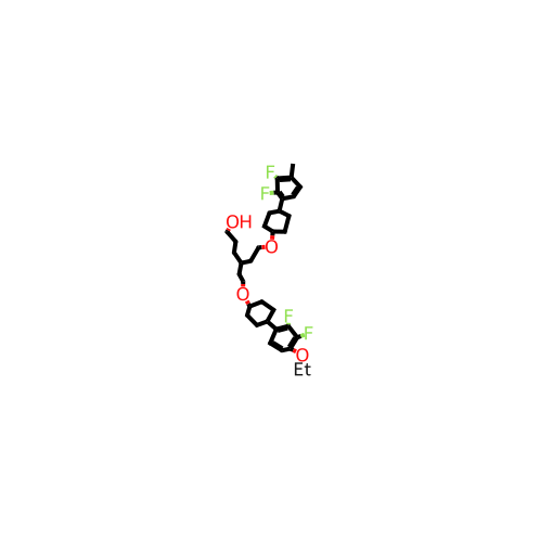 CCOc1ccc(C2CCC(OCCC(CCCO)CCOC3CCC(c4ccc(C)c(F)c4F)CC3)CC2)c(F)c1F